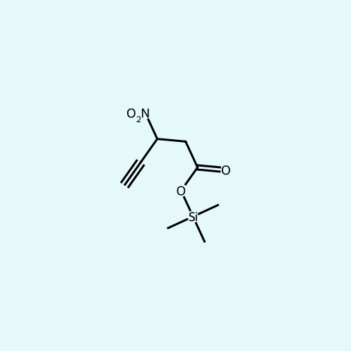 C#CC(CC(=O)O[Si](C)(C)C)[N+](=O)[O-]